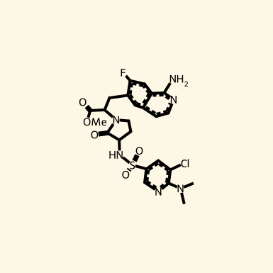 COC(=O)C(Cc1cc2ccnc(N)c2cc1F)N1CCC(NS(=O)(=O)c2cnc(N(C)C)c(Cl)c2)C1=O